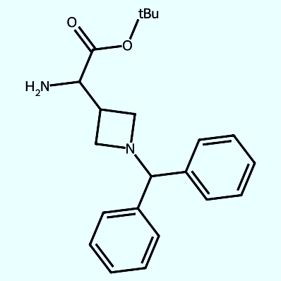 CC(C)(C)OC(=O)C(N)C1CN(C(c2ccccc2)c2ccccc2)C1